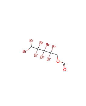 O=[C]OCC(Br)(Br)C(Br)(Br)C(Br)(Br)C(Br)Br